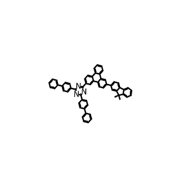 CC1(C)c2ccccc2-c2ccc(-c3ccc4c(c3)c3ccccc3c3ccc(-c5nc(-c6ccc(-c7ccccc7)cc6)nc(-c6ccc(-c7ccccc7)cc6)n5)cc34)cc21